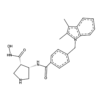 Cc1c(C)n(Cc2ccc(C(=O)N[C@@H]3CNC[C@@H]3C(=O)NO)cc2)c2ccccc12